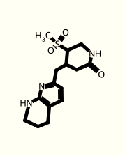 CS(=O)(=O)C1CNC(=O)CC1Cc1ccc2c(n1)NCCC2